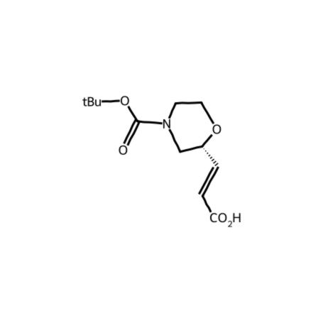 CC(C)(C)OC(=O)N1CCO[C@H](/C=C/C(=O)O)C1